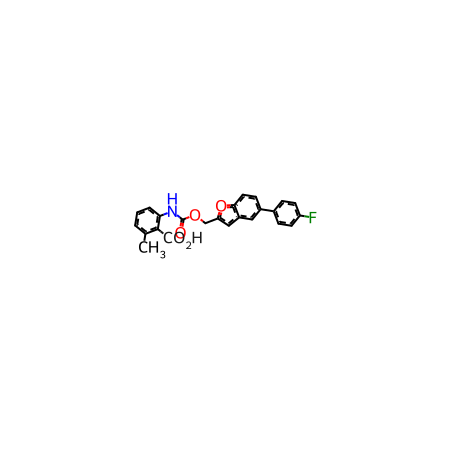 Cc1cccc(NC(=O)OCc2cc3cc(-c4ccc(F)cc4)ccc3o2)c1C(=O)O